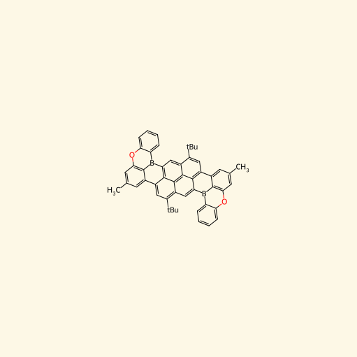 Cc1cc2c3c(c1)-c1cc(C(C)(C)C)c4cc5c6c(cc(C(C)(C)C)c7cc(c1c4c76)B3c1ccccc1O2)-c1cc(C)cc2c1B5c1ccccc1O2